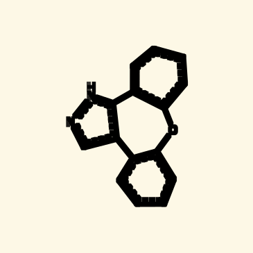 c1ccc2c(c1)Oc1ccccc1-c1[nH]ncc1-2